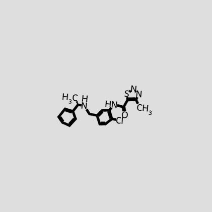 Cc1nnsc1C(=O)Nc1cc(CN[C@H](C)c2ccccc2)ccc1Cl